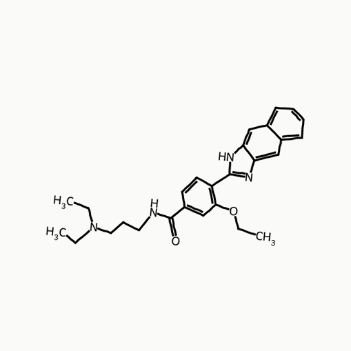 CCOc1cc(C(=O)NCCCN(CC)CC)ccc1-c1nc2cc3ccccc3cc2[nH]1